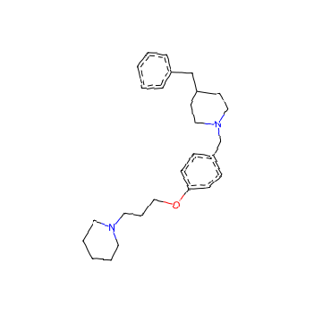 c1ccc(CC2CCN(Cc3ccc(OCCCN4CCCCC4)cc3)CC2)cc1